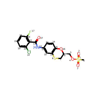 CS(=O)(=O)OC[C@H]1CSc2cc(NC(=O)c3c(F)cccc3Cl)ccc2O1